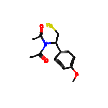 COc1ccc(C(CS)N(C(C)=O)C(C)=O)cc1